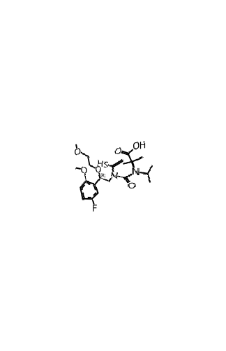 C=C(S)N(C[C@H](OCCOC)c1cc(F)ccc1OC)C(=O)N(C(C)C)C(C)(C)C(=O)O